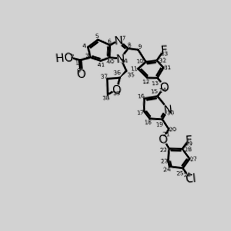 O=C(O)c1ccc2nc(Cc3ccc(Oc4cccc(COc5ccc(Cl)cc5F)n4)cc3F)n(C[C@@H]3CCO3)c2c1